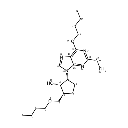 CCCCOC[C@@H]1CC[C@H](n2cnc3c(OCCCC)nc(NP)nc32)[C@H]1O